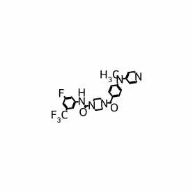 CN(c1ccncc1)c1ccc(C(=O)N2CCN(C(=O)Nc3cc(F)cc(C(F)(F)F)c3)CC2)cc1